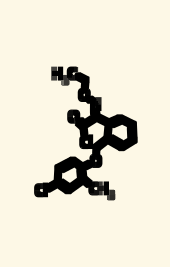 CCO/N=C(\C(=O)Cl)c1ccccc1COc1ccc(Cl)cc1C